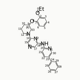 CCOc1ccccc1O[C@@H]1CCCN(c2cncc(Nc3ccc(-c4ccccc4)cn3)n2)C1